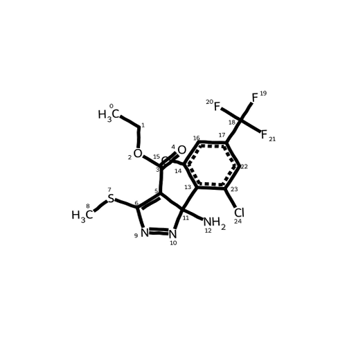 CCOC(=O)C1=C(SC)N=NC1(N)c1c(Cl)cc(C(F)(F)F)cc1Cl